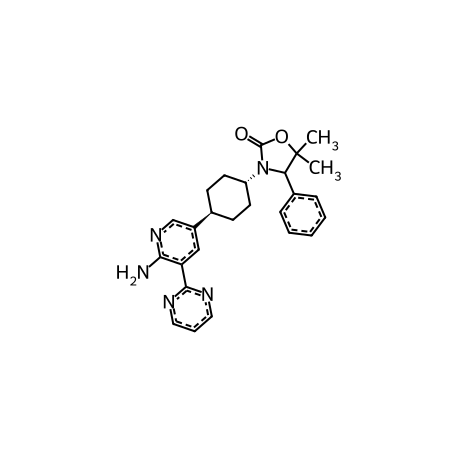 CC1(C)OC(=O)N([C@H]2CC[C@H](c3cnc(N)c(-c4ncccn4)c3)CC2)C1c1ccccc1